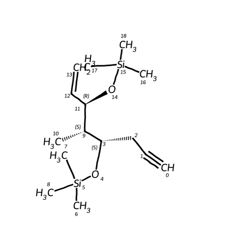 C#CC[C@H](O[Si](C)(C)C)[C@H](C)[C@@H](C=C)O[Si](C)(C)C